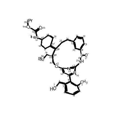 Cc1cccc(CO)c1-c1cc2nc(n1)N[S+]([O-])c1cccc(c1)CCC(C1CCC(NC(=O)OC(C)C)CC1)[C@H](CC(C)(C)C)CO2